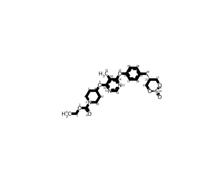 CCOC(=O)N1CCC(Oc2ncnc(Oc3ccc(C[C@H]4CO[S@](=O)OC4)cc3)c2C)CC1